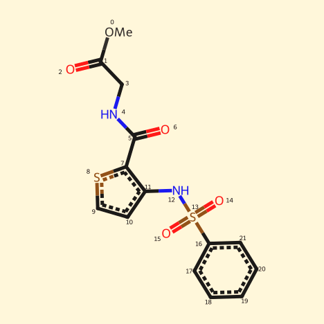 COC(=O)CNC(=O)c1sccc1NS(=O)(=O)c1ccccc1